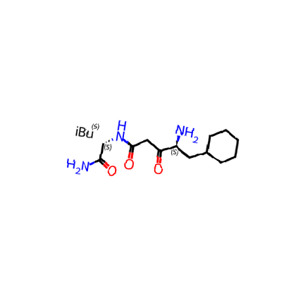 CC[C@H](C)[C@H](NC(=O)CC(=O)[C@@H](N)CC1CCCCC1)C(N)=O